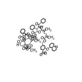 CC(=O)O[C@H]1C(=O)[C@@]2(C)[C@H]([C@H](OC(=O)c3ccccc3)[C@]3(O)C[C@H](OC(=O)[C@H](OC(=O)N(C)CCN(C)C(=O)OCc4ccc([N+](=O)[O-])c(Oc5cccc6ncccc56)c4)[C@@H](NC(=O)c4ccccc4)c4ccccc4)C(C)=C1C3(C)C)[C@]1(OC(C)=O)CO[C@@H]1C[C@@H]2O